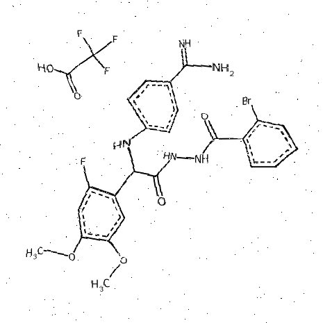 COc1cc(F)c(C(Nc2ccc(C(=N)N)cc2)C(=O)NNC(=O)c2ccccc2Br)cc1OC.O=C(O)C(F)(F)F